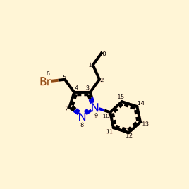 CCCc1c(CBr)cnn1-c1ccccc1